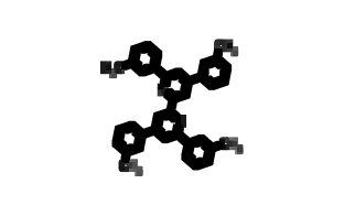 Cc1cccc(-c2cc(-c3cccc(C)c3)nc(-c3cc(-c4cccc(C)c4)cc(-c4cccc(C)c4)n3)c2)c1